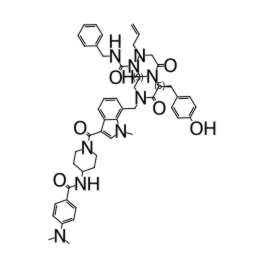 C=CCN1CC(=O)N2[C@@H](Cc3ccc(O)cc3)C(=O)N(Cc3cccc4c(C(=O)N5CCC(NC(=O)c6ccc(N(C)C)cc6)CC5)cn(C)c34)C[C@@H]2N1C(=O)NCc1ccccc1